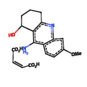 COc1ccc2c(N)c3c(nc2c1)CCCC3O.O=C(O)/C=C\C(=O)O